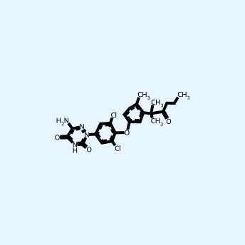 CCCC(=O)C(C)(C)c1cc(Oc2c(Cl)cc(-n3nc(N)c(=O)[nH]c3=O)cc2Cl)ccc1C